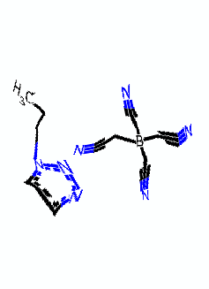 CCCn1ccnn1.N#C[B-](C#N)(C#N)C#N